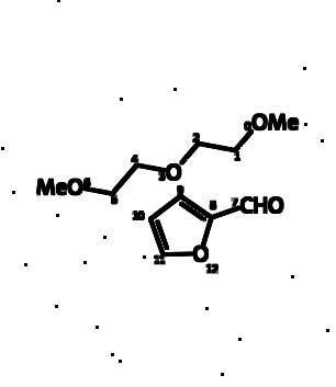 COCCOCCOC.O=Cc1ccco1